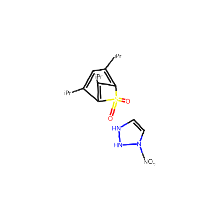 CC(C)c1cc(C(C)C)c2c(C(C)C)c1S2(=O)=O.O=[N+]([O-])N1C=CNN1